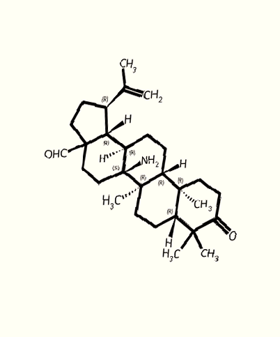 C=C(C)[C@@H]1CCC2(C=O)CC[C@]3(N)[C@H](CC[C@@H]4[C@@]5(C)CCC(=O)C(C)(C)[C@@H]5CC[C@]43C)[C@@H]12